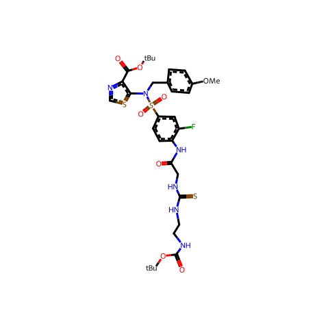 COc1ccc(CN(c2scnc2C(=O)OC(C)(C)C)S(=O)(=O)c2ccc(NC(=O)CNC(=S)NCCNC(=O)OC(C)(C)C)c(F)c2)cc1